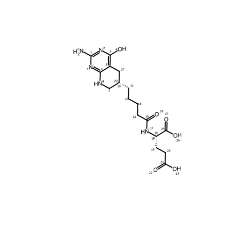 Nc1nc(O)c2c(n1)NC[C@@H](CCCCC(=O)N[C@@H](CCC(=O)O)C(=O)O)C2